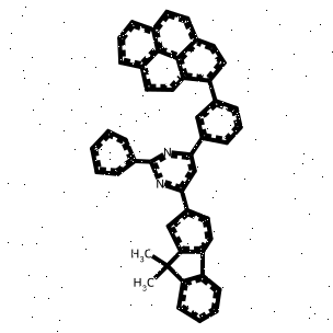 CC1(C)c2ccccc2-c2ccc(-c3cc(-c4cccc(-c5ccc6ccc7cccc8ccc5c6c78)c4)nc(-c4ccccc4)n3)cc21